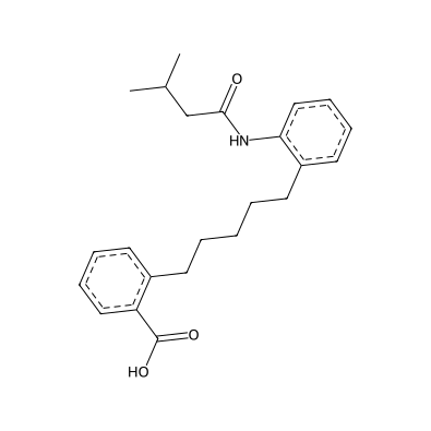 CC(C)CC(=O)Nc1ccccc1CCCCCc1ccccc1C(=O)O